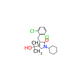 CC(C)(O)C1CN(C2CCCCC2)C(=O)C1Cc1c(Cl)cccc1Cl